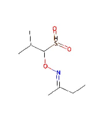 CCC(C)=NOC(C(C)C)[SH](=O)=O